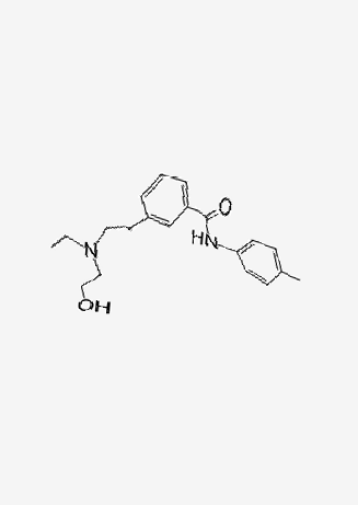 CCN(CCO)CCc1cccc(C(=O)Nc2ccc(C)cc2)c1